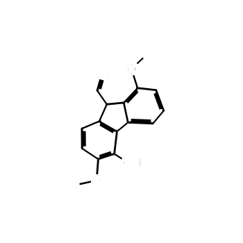 COc1ccc2c(c1O)-c1cccc(OC)c1C2C=O